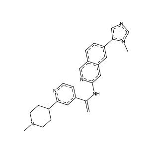 C=C(Nc1cc2cc(-c3cncn3C)ccc2cn1)c1ccnc(C2CCN(C)CC2)c1